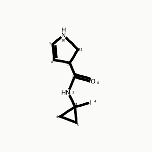 O=C(NC1(I)CC1)C1C=CNC1